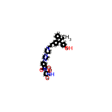 CCC(=C(c1ccc(O)cc1)c1ccc(CCCN2CCC(N3CCN(c4ccc5c(c4)C(=O)N(C4CCC(=O)NC4=O)C5=O)CC3)CC2)cc1)c1ccccc1